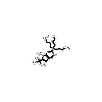 CCC[CH2][Sn]([CH2]CCC)([CH2]CCC)[c]1ncc2cc(C(C)(C)C)n(C)c2n1